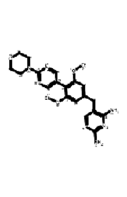 CCOc1cc(Cc2cnc(N)nc2N)cc(OCC)c1-c1cnc(N2CCOCC2)nc1